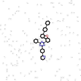 c1ccc(-c2ccc(-c3cccc4c3oc3cccc(-c5nc(-c6ccccc6)nc(-c6ccc(-c7ccccn7)cc6)n5)c34)cc2)cc1